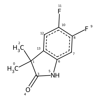 CC1(C)C(=O)Nc2cc(F)c(F)cc21